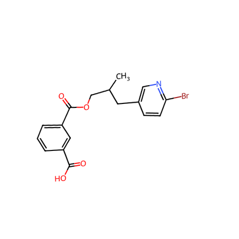 CC(COC(=O)c1cccc(C(=O)O)c1)Cc1ccc(Br)nc1